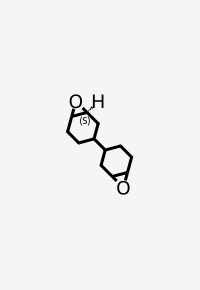 C1CC2OC2CC1C1CCC2O[C@H]2C1